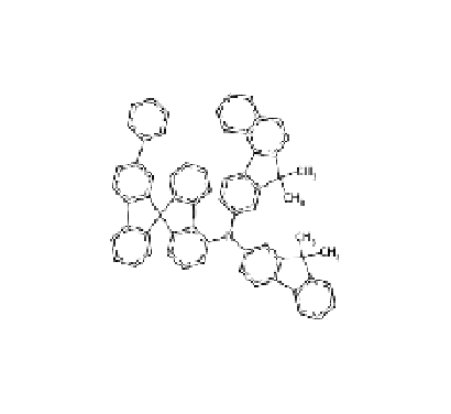 CC1(C)c2ccccc2-c2ccc(N(c3ccc4c(c3)C(C)(C)c3ccc5ccccc5c3-4)c3cccc4c3-c3ccccc3C43c4ccccc4-c4ccc(-c5ccccc5)cc43)cc21